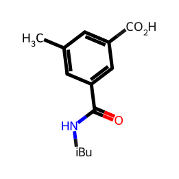 CCC(C)NC(=O)c1cc(C)cc(C(=O)O)c1